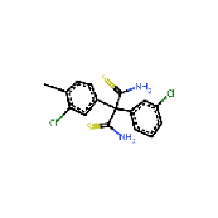 Cc1ccc(C(C(N)=S)(C(N)=S)c2cccc(Cl)c2)cc1Cl